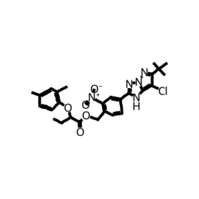 CCC(Oc1ccc(C)cc1C)C(=O)OCc1ccc(-c2nn3nc(C(C)(C)C)c(Cl)c3[nH]2)cc1[N+](=O)[O-]